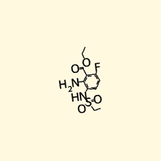 CCOC(=O)c1c(F)ccc(NS(=O)(=O)CC)c1N